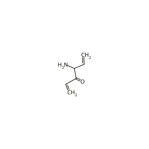 C=CC(=O)C(N)C=C